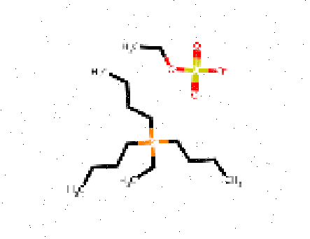 CCCC[P+](CC)(CCCC)CCCC.CCOS(=O)(=O)[O-]